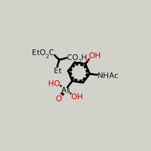 CC(=O)Nc1cc([As](=O)(O)O)ccc1O.CCOC(=O)C(CC)C(=O)O